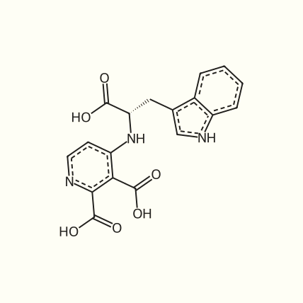 O=C(O)c1nccc(N[C@@H](Cc2c[nH]c3ccccc23)C(=O)O)c1C(=O)O